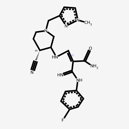 Cn1ccc(CN2CC[C@@H](C#N)C(N/C=C(\C(=N)Nc3ccc(F)cc3)C(N)=O)C2)n1